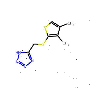 Cc1csc(SCc2nnn[nH]2)c1C